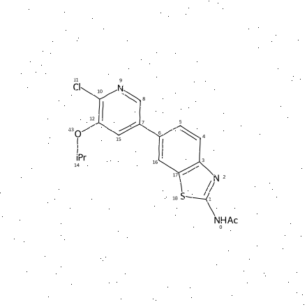 CC(=O)Nc1nc2ccc(-c3cnc(Cl)c(OC(C)C)c3)cc2s1